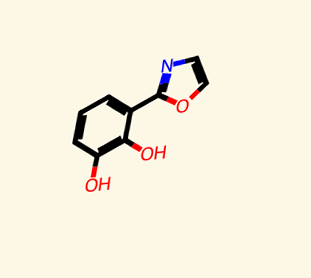 Oc1cccc(-c2ncco2)c1O